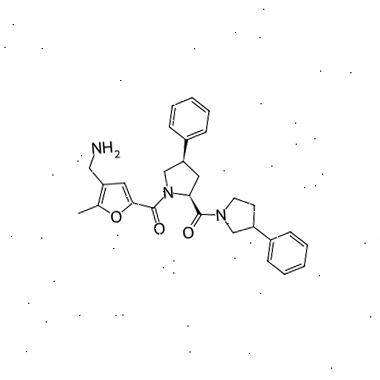 Cc1oc(C(=O)N2C[C@@H](c3ccccc3)C[C@H]2C(=O)N2CCC(c3ccccc3)C2)cc1CN